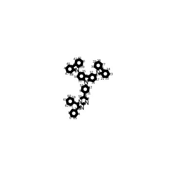 c1ccc(-c2nc3ncc(-c4ccc(-n5c6ccc(-n7c8ccccc8c8ccccc87)cc6c6cc(-n7c8ccccc8c8ccccc87)ccc65)cc4)cn3c2-c2ccccc2)cc1